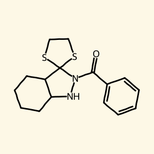 O=C(c1ccccc1)N1NC2CCCCC2C12SCCS2